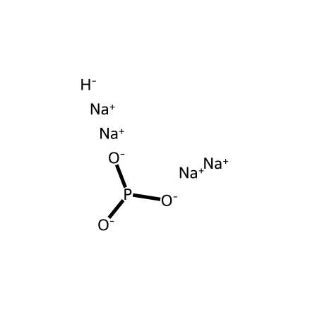 [H-].[Na+].[Na+].[Na+].[Na+].[O-]P([O-])[O-]